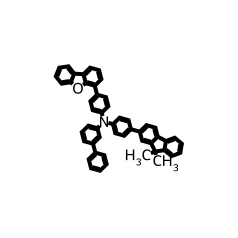 CC1(C)c2ccccc2-c2ccc(-c3ccc(N(c4ccc(-c5cccc6c5oc5ccccc56)cc4)c4cccc(-c5ccccc5)c4)cc3)cc21